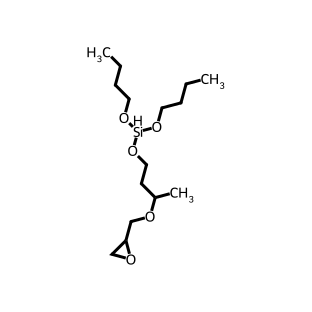 CCCCO[SiH](OCCCC)OCCC(C)OCC1CO1